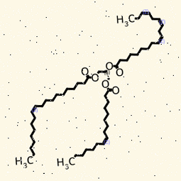 CC/C=C\C/C=C\C/C=C\CCCCCCCC(=O)O[C@H](COC(=O)CCCCCCC/C=C\CCCCCC)COC(=O)CCCCCCCCC/C=C\CCCCCCCC